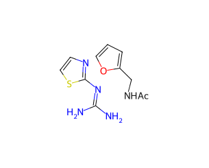 CC(=O)NCc1ccco1.NC(N)=Nc1nccs1